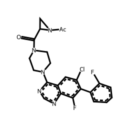 CC(=O)N1CC1C(=O)N1CCN(c2ncnc3c(F)c(-c4ccccc4F)c(Cl)cc23)CC1